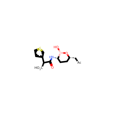 CC(=O)C[C@@H]1CC[C@H](NC(=O)C(C(=O)O)c2ccsc2)B(O)O1